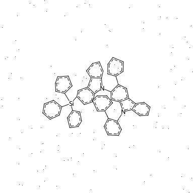 c1ccc(-c2ccccc2-n2c3ccccc3c3cc(-c4ccccc4)c(-n4c5ccccc5c5cc([Si](c6ccccc6)(c6ccccc6)c6ccccc6)ccc54)cc32)cc1